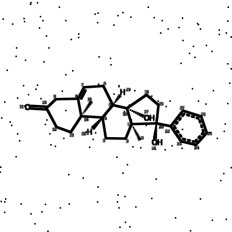 C[C@]12CC[C@H]3[C@@H](CC=C4CC(=O)CC[C@@]43C)[C@@]1(O)CC[C@]2(O)c1ccccc1